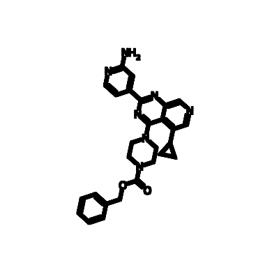 Nc1cc(-c2nc(N3CCN(C(=O)OCc4ccccc4)CC3)c3c(C4CC4)cncc3n2)ccn1